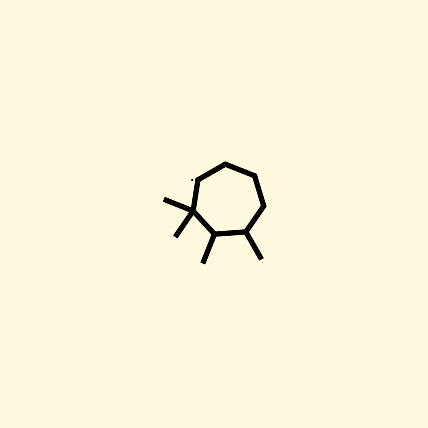 CC1CCC[CH]C(C)(C)C1C